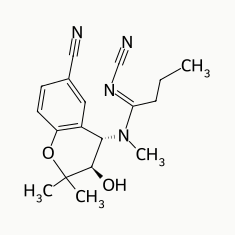 CCCC(=NC#N)N(C)[C@H]1c2cc(C#N)ccc2OC(C)(C)[C@@H]1O